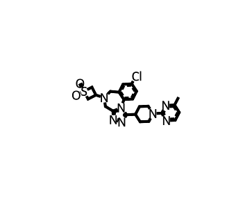 Cc1ccnc(N2CCC(c3nnc4n3-c3ccc(Cl)cc3CN(C3CS(=O)(=O)C3)C4)CC2)n1